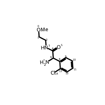 COCCNC(=O)C(N)c1ccccc1Cl